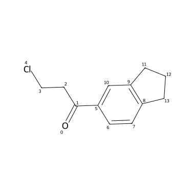 O=C(CCCl)c1ccc2c(c1)CCC2